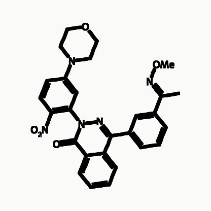 CON=C(C)c1cccc(-c2nn(-c3cc(N4CCOCC4)ccc3[N+](=O)[O-])c(=O)c3ccccc23)c1